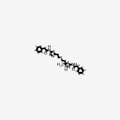 CC1(CCSCCc2nnc(NC(=O)Cc3ccccc3)s2)NN=C(NC(=O)Cc2ccccc2)S1